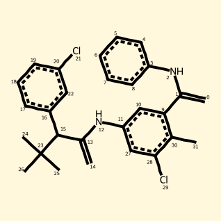 C=C(Nc1ccccc1)c1cc(NC(=C)C(c2cccc(Cl)c2)C(C)(C)C)cc(Cl)c1C